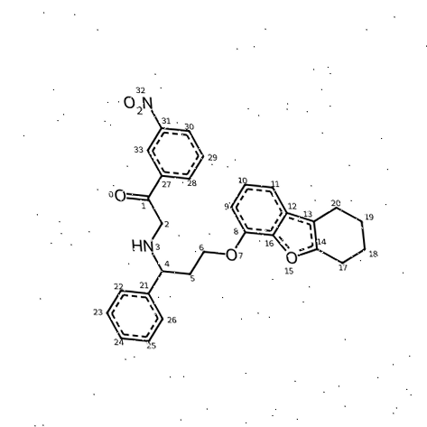 O=C(CNC(CCOc1cccc2c3c(oc12)CCCC3)c1ccccc1)c1cccc([N+](=O)[O-])c1